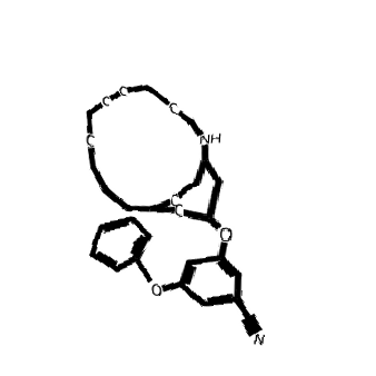 N#Cc1cc(Oc2ccccc2)cc(OC2CC3CCCCCCCCCCNC(CC3)C2)c1